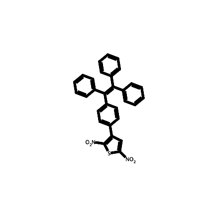 O=[N+]([O-])c1cc(-c2ccc(C(=C(c3ccccc3)c3ccccc3)c3ccccc3)cc2)c([N+](=O)[O-])s1